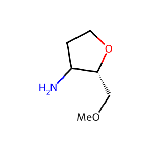 COC[C@H]1OCCC1N